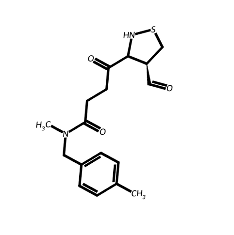 Cc1ccc(CN(C)C(=O)CCC(=O)C2NSC[C@H]2C=O)cc1